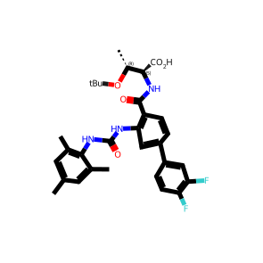 Cc1cc(C)c(NC(=O)Nc2cc(-c3ccc(F)c(F)c3)ccc2C(=O)N[C@H](C(=O)O)[C@@H](C)OC(C)(C)C)c(C)c1